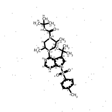 Cc1ccc(S(=O)(=O)n2cc(C(C)(C)C)c3c(N4CC(C)N(C(=O)OC(C)(C)C)CC4C)ncnc32)cc1